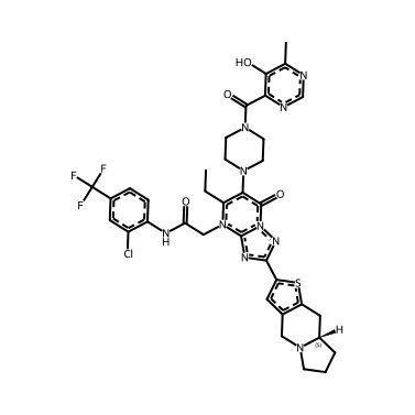 CCc1c(N2CCN(C(=O)c3ncnc(C)c3O)CC2)c(=O)n2nc(-c3cc4c(s3)C[C@@H]3CCCN3C4)nc2n1CC(=O)Nc1ccc(C(F)(F)F)cc1Cl